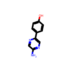 Nc1cnc(-c2ccc(O)cc2)cn1